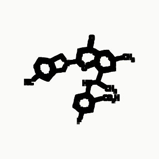 Cc1cc(C(C)Nc2ccc(F)cc2C(=O)O)c2oc(N3Cc4ccc(C#N)cc4C3)cc(=O)c2c1